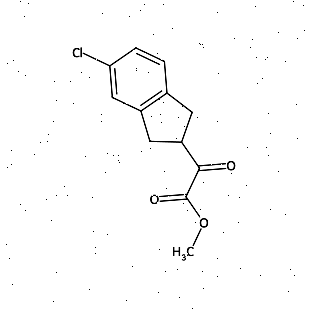 COC(=O)C(=O)C1Cc2ccc(Cl)cc2C1